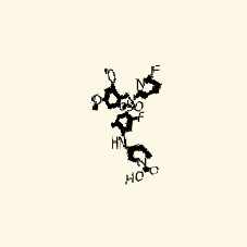 COc1ccc(CN(c2cccc(F)n2)S(=O)(=O)c2cc(C)c(N[C@H]3CCN(C(=O)O)C3)cc2F)c(OC)c1